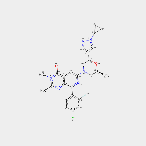 Cc1nc2c(-c3ccc(Cl)cc3F)nc(N3C[C@H](C)O[C@@H](c4cnn(C5CC5)c4)C3)cc2c(=O)n1C